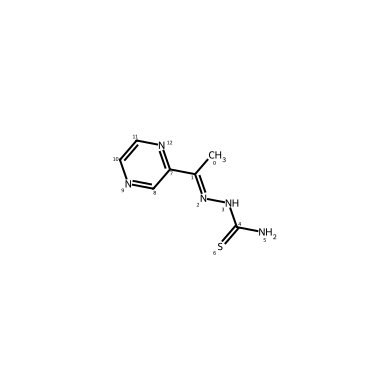 C/C(=N\NC(N)=S)c1cnccn1